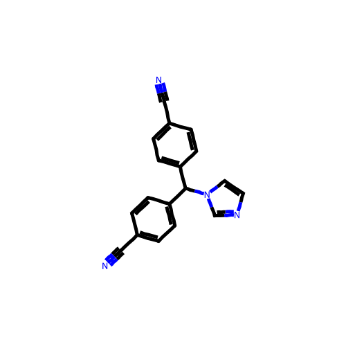 N#Cc1ccc(C(c2ccc(C#N)cc2)n2ccnc2)cc1